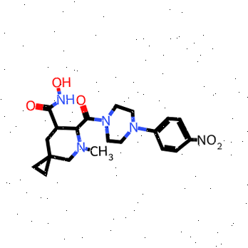 CN1CC2(CC2)CC(C(=O)NO)C1C(=O)N1CCN(c2ccc([N+](=O)[O-])cc2)CC1